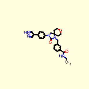 O=C(NCC(F)(F)F)c1cccc(CN2C(=O)N(c3ccc(-c4cn[nH]c4)cc3)CC23CCOCC3)c1